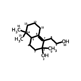 CC1(O)CCC2C(=C1CCO)CCCC2(C)C